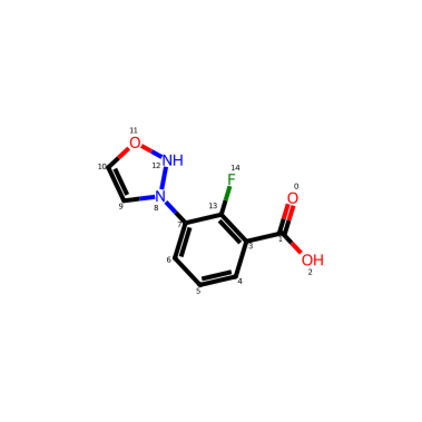 O=C(O)c1cccc(N2C=CON2)c1F